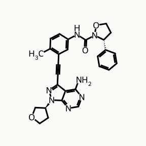 Cc1ccc(NC(=O)N2OCC[C@@H]2c2ccccc2)cc1C#Cc1nn([C@H]2CCOC2)c2ncnc(N)c12